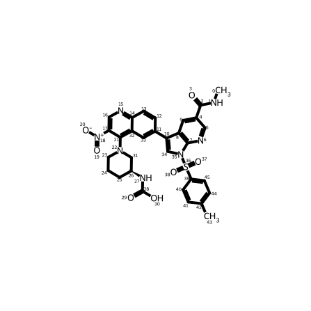 CNC(=O)c1cnc2c(c1)c(-c1ccc3ncc([N+](=O)[O-])c(N4CCC[C@H](NC(=O)O)C4)c3c1)cn2S(=O)(=O)c1ccc(C)cc1